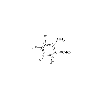 Cc1c(F)c(F)c(N)c(C=O)c1F